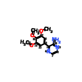 COc1cc(-c2nccnc2N)cc(OC)c1OC